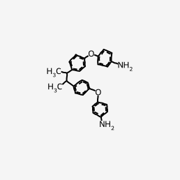 CC(c1ccc(Oc2ccc(N)cc2)cc1)C(C)c1ccc(Oc2ccc(N)cc2)cc1